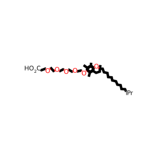 Cc1c(C)c2c(c(C)c1OCCOCCOCCOCCOCCC(=O)O)CCC(C)(CCCCCCCCCCCC(C)C)O2